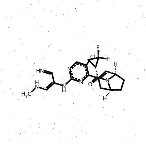 CN/C=C(\C=N)Nc1ncc(Cl)c(C2=C[C@H]3CC[C@@H](C2)N3C(=O)[C@@H]2CC2(F)F)n1